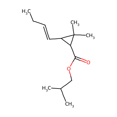 CCC=CC1C(C(=O)OCC(C)C)C1(C)C